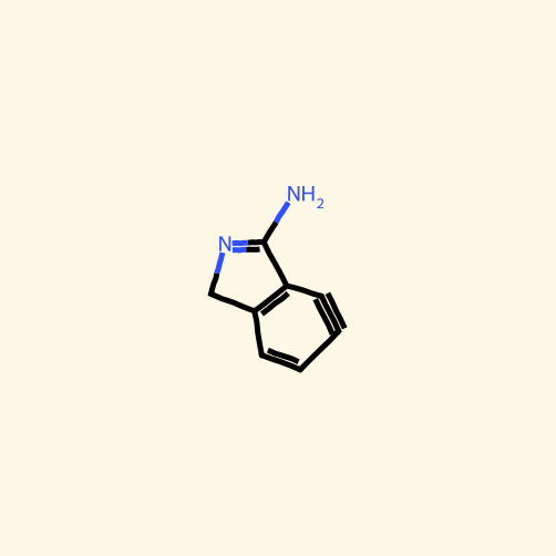 NC1=NCc2ccc#cc21